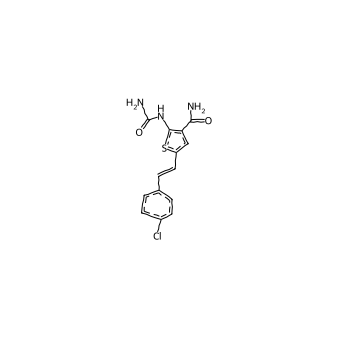 NC(=O)Nc1sc(C=Cc2ccc(Cl)cc2)cc1C(N)=O